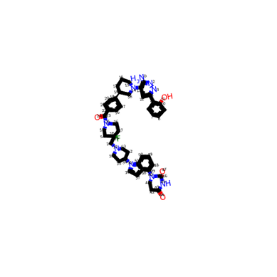 Nc1nnc(-c2ccccc2O)cc1N1CCC[C@H](c2ccc(C(=O)N3CCC(F)(CN4CCC(n5ccc6c(N7CCC(=O)NC7=O)cccc65)CC4)CC3)cc2)C1